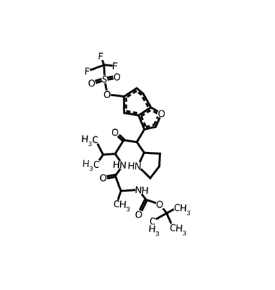 CC(NC(=O)OC(C)(C)C)C(=O)NC(C(=O)C(c1coc2ccc(OS(=O)(=O)C(F)(F)F)cc12)C1CCCN1)C(C)C